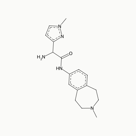 CN1CCc2ccc(NC(=O)C(N)c3ccn(C)n3)cc2CC1